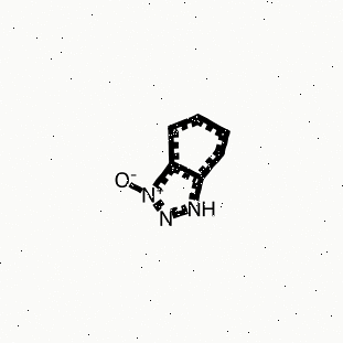 [O-][n+]1n[nH]c2ccccc21